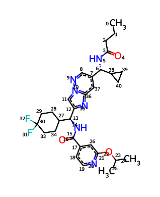 CCCC(=O)N[C@@H](c1cnn2cc([C@@H](NC(=O)c3ccnc(OC(C)C)c3)C3CCC(F)(F)CC3)nc2c1)C1CC1